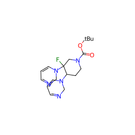 CC(C)(C)OC(=O)N1CCC(N2C=CC=NC2)C(F)(N2C=CC=NC2)C1